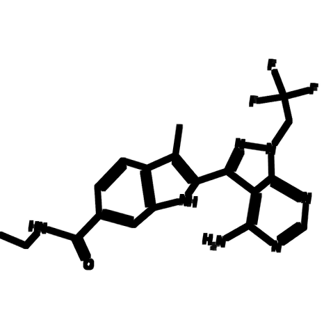 CCNC(=O)c1ccc2c(C)c(-c3nn(CC(F)(F)F)c4ncnc(N)c34)[nH]c2c1